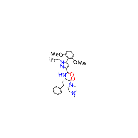 COc1cccc(OC)c1-c1cc(C(=O)N[C@@H](CCc2ccccc2)C(=O)N(C)CCN(C)C)nn1CC(C)C